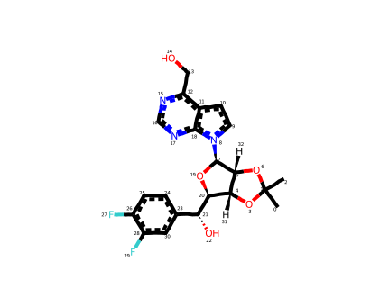 CC1(C)O[C@H]2[C@@H](O1)[C@H](n1ccc3c(CO)ncnc31)O[C@@H]2[C@H](O)c1ccc(F)c(F)c1